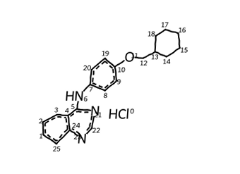 Cl.c1ccc2c(Nc3ccc(OCC4CCCCC4)cc3)ncnc2c1